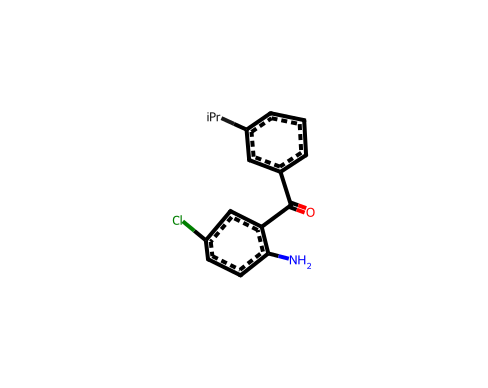 CC(C)c1cccc(C(=O)c2cc(Cl)ccc2N)c1